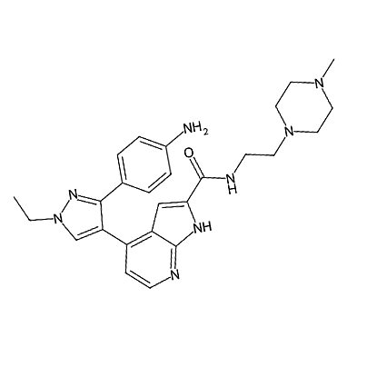 CCn1cc(-c2ccnc3[nH]c(C(=O)NCCN4CCN(C)CC4)cc23)c(-c2ccc(N)cc2)n1